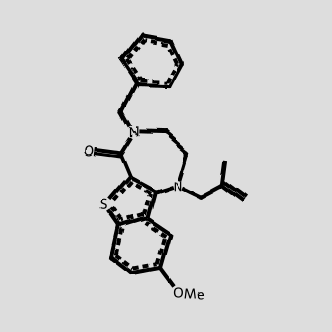 C=C(C)CN1CCN(Cc2ccccc2)C(=O)c2sc3ccc(OC)cc3c21